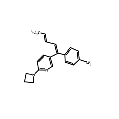 O=C(O)C=CC=C(c1ccc(C(F)(F)F)cc1)c1ccc(N2CCC2)nc1